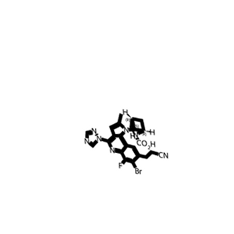 Cc1cc2c(-n3cncn3)nc3c(F)c(Br)c(CCC#N)cc3c2n1[C@H]1[C@@H]2C[C@H]1N(C(=O)O)C2